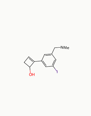 CNCc1cc(I)cc(C2=CCC2O)c1